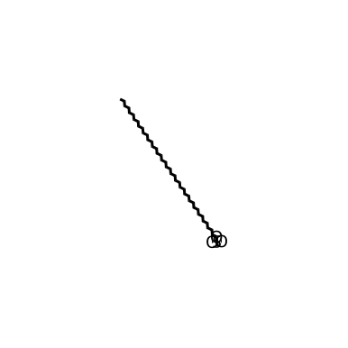 CCCCCCCCCCCCCCCCCCCCCCCCCCCCCCCCCCCCCCCCCOS(C)(=O)=O